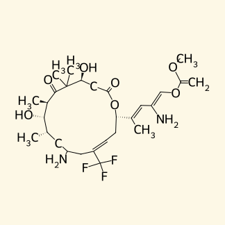 C=C(OC)O/C=C(N)/C=C(\C)[C@@H]1C/C=C(/C(F)(F)F)CC(N)C[C@H](C)[C@H](O)[C@@H](C)C(=O)C(C)(C)[C@@H](O)CC(=O)O1